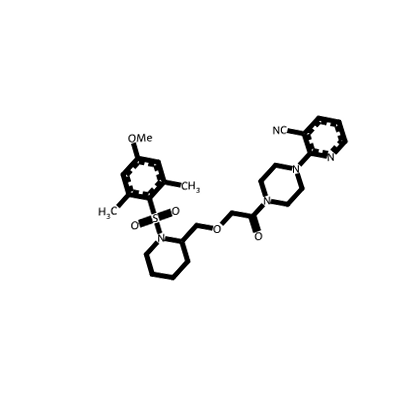 COc1cc(C)c(S(=O)(=O)N2CCCCC2COCC(=O)N2CCN(c3ncccc3C#N)CC2)c(C)c1